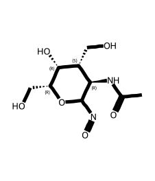 CC(=O)N[C@H]1C(N=O)O[C@H](CO)[C@H](O)[C@@H]1CO